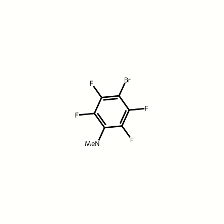 CNc1c(F)c(F)c(Br)c(F)c1F